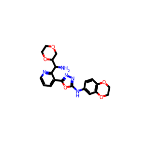 NC(c1ncccc1-c1nnc(Nc2ccc3c(c2)OCCO3)o1)C1COCCO1